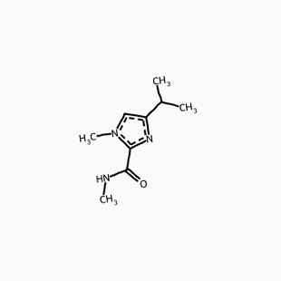 CNC(=O)c1nc(C(C)C)cn1C